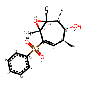 C[C@@H]1[C@H](O)[C@@H](C)C=C(S(=O)(=O)c2ccccc2)[C@@H]2O[C@H]12